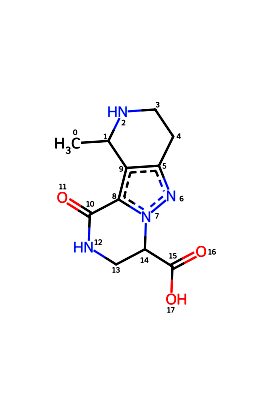 CC1NCCc2nn3c(c21)C(=O)NCC3C(=O)O